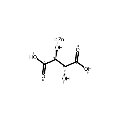 O=C(O)[C@@H](O)[C@@H](O)C(=O)O.[Zn]